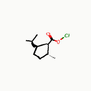 CC(C)=C1CC[C@@H](C)C1C(=O)OCl